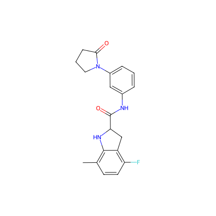 Cc1ccc(F)c2c1NC(C(=O)Nc1cccc(N3CCCC3=O)c1)C2